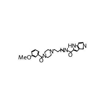 COc1cccc(C(=O)N2CCN(CCCCNC(=O)c3cc4cnccc4[nH]3)CC2)c1